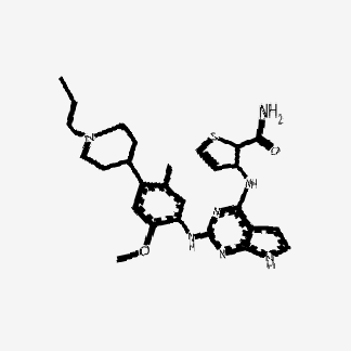 CCCN1CCC(c2cc(OC)c(Nc3nc(NC4C=CSC4C(N)=O)c4cc[nH]c4n3)cc2C)CC1